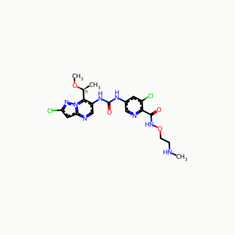 CNCCONC(=O)c1ncc(NC(=O)Nc2cnc3cc(Cl)nn3c2[C@H](C)OC)cc1Cl